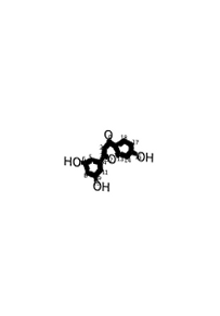 O=c1cc(-c2cc(O)cc(O)c2)oc2cc(O)ccc12